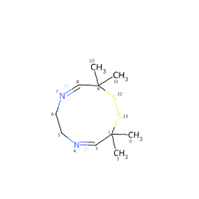 CC1(C)/C=N\CC/N=C\C(C)(C)SS1